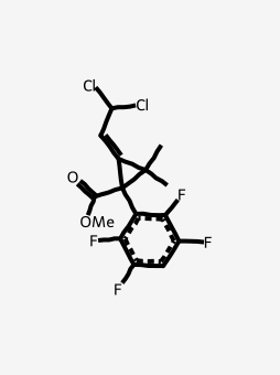 COC(=O)C1(c2c(F)c(F)cc(F)c2F)C(=CC(Cl)Cl)C1(C)C